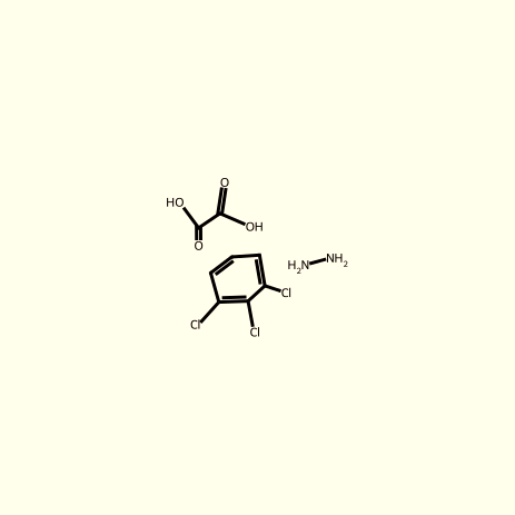 Clc1cccc(Cl)c1Cl.NN.O=C(O)C(=O)O